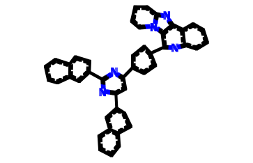 c1ccc2cc(-c3cc(-c4ccc(-c5nc6ccccc6c6nc7ccccn7c56)cc4)nc(-c4ccc5ccccc5c4)n3)ccc2c1